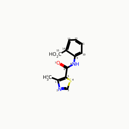 Cc1ncsc1C(=O)Nc1ccccc1C(=O)O